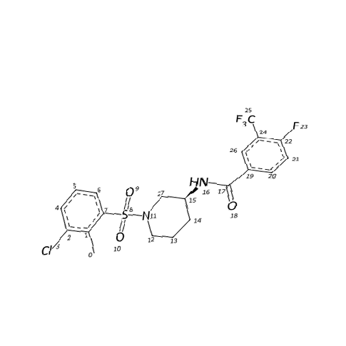 Cc1c(Cl)cccc1S(=O)(=O)N1CCC[C@H](NC(=O)c2ccc(F)c(C(F)(F)F)c2)C1